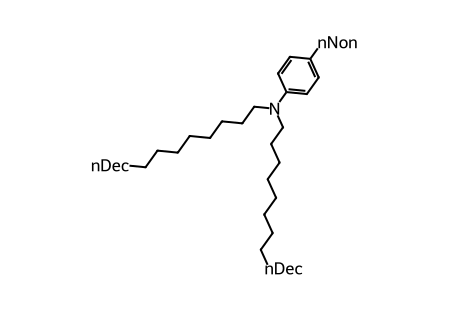 CCCCCCCCCCCCCCCCCCN(CCCCCCCCCCCCCCCCCC)c1ccc(CCCCCCCCC)cc1